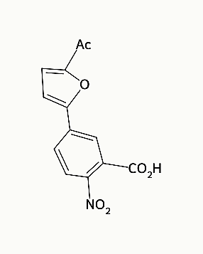 CC(=O)c1ccc(-c2ccc([N+](=O)[O-])c(C(=O)O)c2)o1